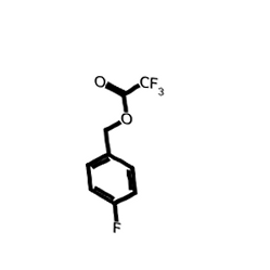 O=C(OCc1ccc(F)cc1)C(F)(F)F